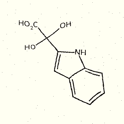 O=C(O)C(O)(O)c1cc2ccccc2[nH]1